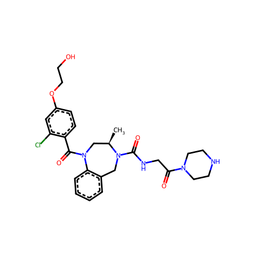 C[C@@H]1CN(C(=O)c2ccc(OCCO)cc2Cl)c2ccccc2CN1C(=O)NCC(=O)N1CCNCC1